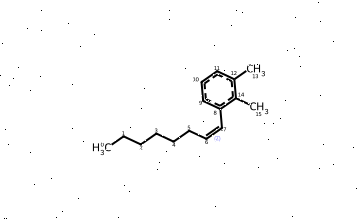 CCCCCC/C=[C]\c1cccc(C)c1C